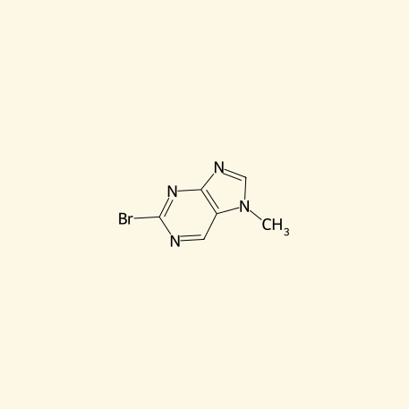 Cn1cnc2nc(Br)ncc21